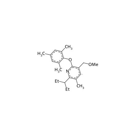 CCC(CC)c1nc(Oc2c(C)cc(C)cc2C)c(COC)[c]c1C